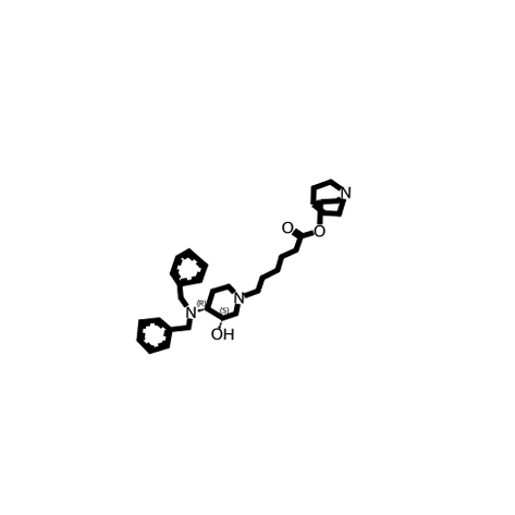 O=C(CCCCCN1CC[C@@H](N(Cc2ccccc2)Cc2ccccc2)[C@@H](O)C1)OC1CN2CCC1CC2